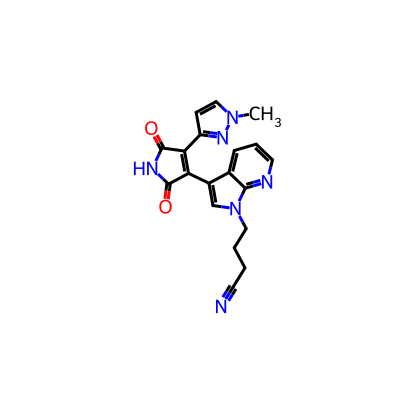 Cn1ccc(C2=C(c3cn(CCCC#N)c4ncccc34)C(=O)NC2=O)n1